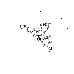 Cc1ccc(N2c3ccccc3N(C/C=C\CN)S2(O)O)c(F)c1.Cl